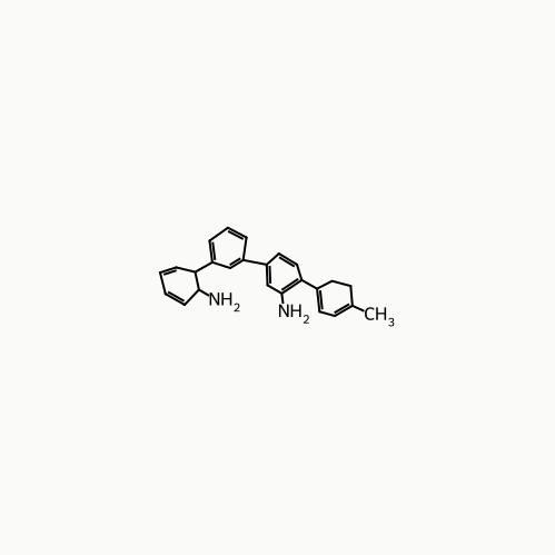 CC1=CC=C(c2ccc(-c3cccc(C4C=CC=CC4N)c3)cc2N)CC1